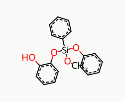 CO[Si](Oc1ccccc1)(Oc1ccccc1O)c1ccccc1